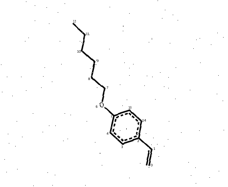 [CH]=Cc1ccc(OCCCCCC)cc1